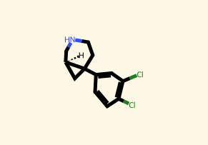 Clc1ccc(C23CCNC[C@@H]2C3)cc1Cl